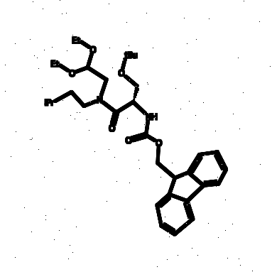 CCOC(CN(CCC(C)C)C(=O)[C@H](COC(C)(C)C)NC(=O)OCC1c2ccccc2-c2ccccc21)OCC